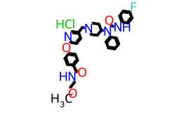 COCCNC(=O)c1ccc(Oc2ccc(CN3CCC(N(C(=O)Nc4ccc(F)cc4)c4ccccc4)CC3)cn2)cc1.Cl